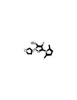 Cc1ccc(C)n1-c1nn([C@@H]2CCOC2)c(C(C)(C)C)c1F